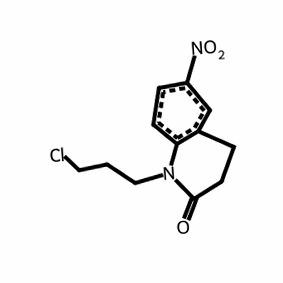 O=C1CCc2cc([N+](=O)[O-])ccc2N1CCCCl